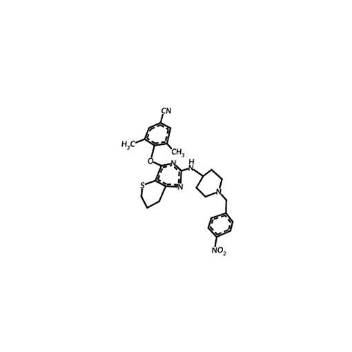 Cc1cc(C#N)cc(C)c1Oc1nc(NC2CCN(Cc3ccc([N+](=O)[O-])cc3)CC2)nc2c1SCCC2